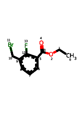 CCOC(=O)c1cccc(CBr)c1F